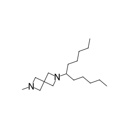 CCCCCC(CCCCC)N1CC2(CN(C)C2)C1